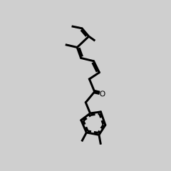 C\C=C(C)/C(C)=C\C=C/CC(=O)Cc1ccc(C)c(C)c1